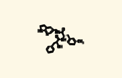 Cc1cccc(C[C@H](NC(=O)C(O)Cc2ccccc2)C(=O)NCc2cnc3[nH]ccc3c2)c1